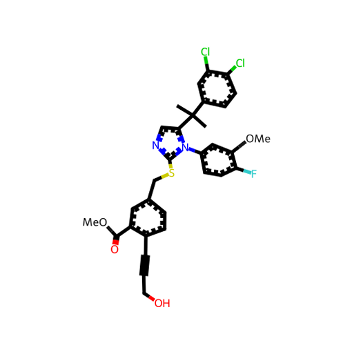 COC(=O)c1cc(CSc2ncc(C(C)(C)c3ccc(Cl)c(Cl)c3)n2-c2ccc(F)c(OC)c2)ccc1C#CCO